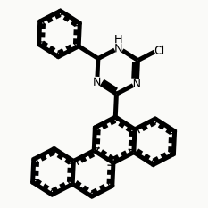 ClC1=NC(c2cc3c4ccccc4ccc3c3ccccc23)=NC(c2ccccc2)N1